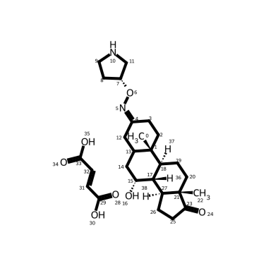 C[C@]12CCC(=NO[C@@H]3CCNC3)CC1C[C@@H](O)[C@@H]1[C@@H]2CC[C@]2(C)C(=O)CC[C@@H]12.O=C(O)/C=C/C(=O)O